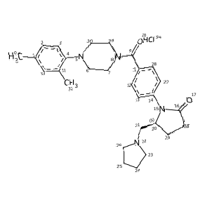 Cc1ccc(N2CCN(C(=O)c3ccc(N4C(=O)CC[C@H]4CN4CCCC4)cc3)CC2)c(C)c1.Cl